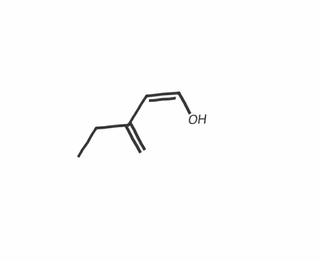 C=C(/C=C\O)CC